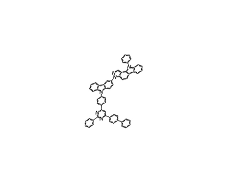 c1ccc(-c2ccc(-c3cc(-c4ccc(-n5c6ccccc6c6cc(-n7ncc8c7ccc7c9ccccc9n(-c9ccccc9)c78)ccc65)cc4)nc(-c4ccccc4)n3)cc2)cc1